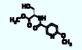 COC(=O)[C@H](CO)NC(=O)c1ccc(OC)nc1